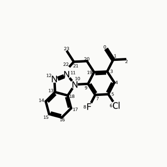 C=C(C)c1cc(Cl)c(F)c(-n2nnc3ccccc32)c1CC(C)C